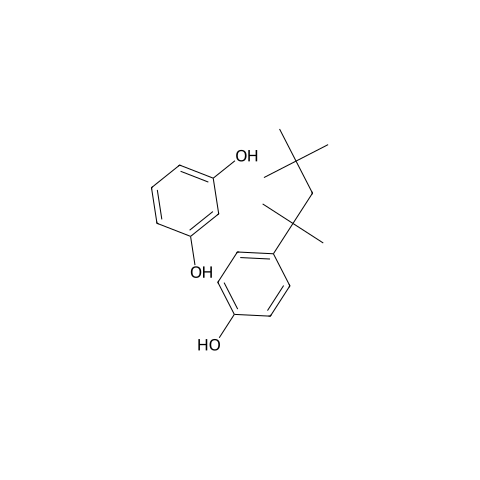 CC(C)(C)CC(C)(C)c1ccc(O)cc1.Oc1cccc(O)c1